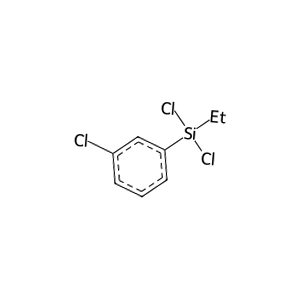 CC[Si](Cl)(Cl)c1cccc(Cl)c1